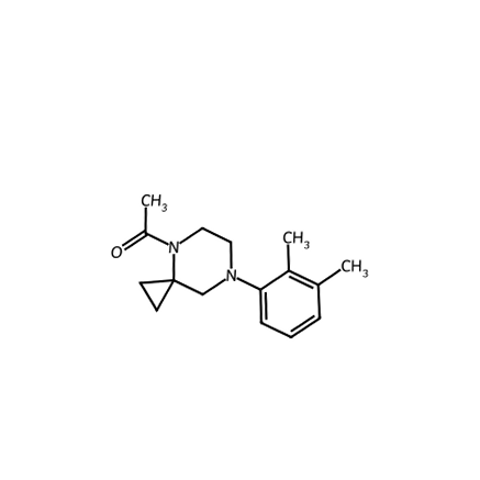 CC(=O)N1CCN(c2cccc(C)c2C)CC12CC2